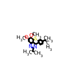 COC1=Cc2nc(C(C)C)nc(-c3ccc(C(C)C)cc3)c2C(=S)C1OC